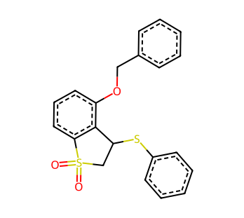 O=S1(=O)CC(Sc2ccccc2)c2c(OCc3ccccc3)cccc21